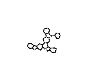 c1ccc(-n2c3ccccc3c3cc4c5cc6c(cc5n5cc7ccccc7c5c4cc32)sc2ccccc26)cc1